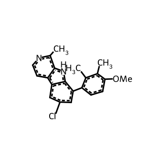 COc1ccc(-c2cc(Cl)cc3c2[nH]c2c(C)nccc23)c(C)c1C